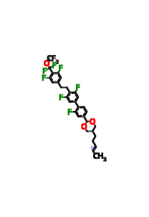 C/C=C/CCC1COC(c2ccc(-c3cc(F)c(CCc4cc(F)c(C(F)(F)OC(F)(F)F)c(F)c4)c(F)c3)c(F)c2)OC1